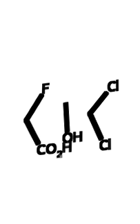 CO.ClCCl.O=C(O)CF